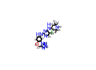 CN1C(C)(C)CC(Nc2nc(Nc3ccc4c(c3)-n3nnnc3CO4)ncc2F)CC1(C)C